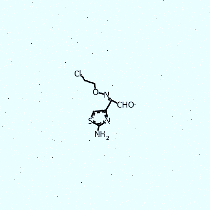 Nc1nc(/C([C]=O)=N\OCCCl)cs1